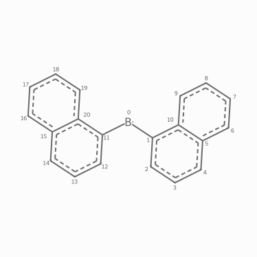 [B](c1cccc2ccccc12)c1cccc2ccccc12